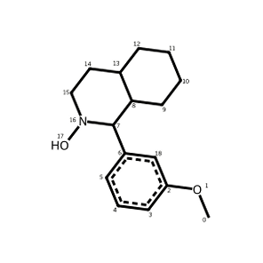 COc1cccc(C2C3CCCCC3CCN2O)c1